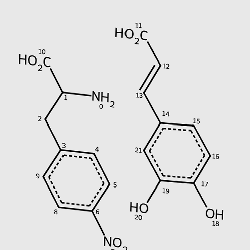 NC(Cc1ccc([N+](=O)[O-])cc1)C(=O)O.O=C(O)C=Cc1ccc(O)c(O)c1